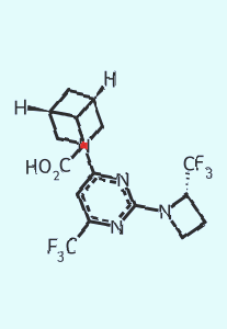 O=C(O)CC1[C@@H]2C[C@H]1CN(c1cc(C(F)(F)F)nc(N3CC[C@H]3C(F)(F)F)n1)C2